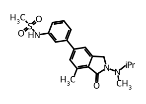 Cc1cc(-c2cccc(NS(C)(=O)=O)c2)cc2c1C(=O)N(N(C)C(C)C)C2